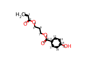 C=CC(=O)OCCCOC(=O)c1ccc(O)cc1